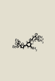 CCOP(=O)(OCC)c1ccc(-c2cc(N)cc(OCCC(=O)[Si](C)(C)C)c2)o1